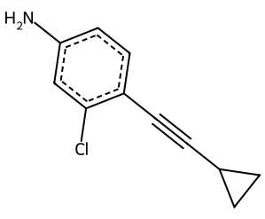 Nc1ccc(C#CC2CC2)c(Cl)c1